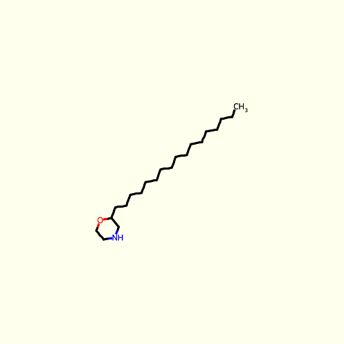 CCCCCCCCCCCCCCCCCC1CNCCO1